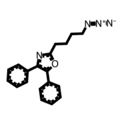 [N-]=[N+]=NCCCCc1nc(-c2ccccc2)c(-c2ccccc2)o1